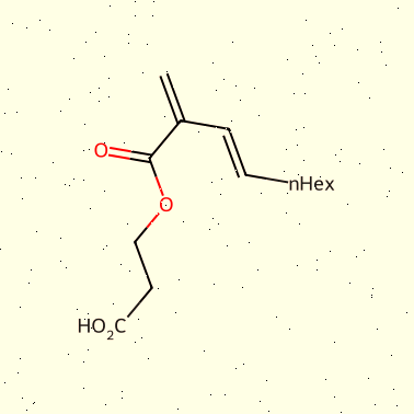 C=C(C=CCCCCCC)C(=O)OCCC(=O)O